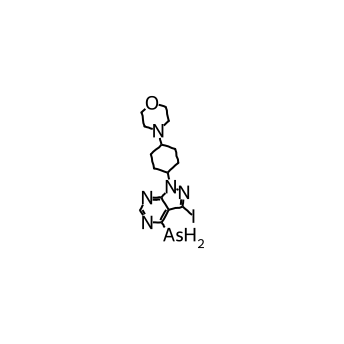 [AsH2]c1ncnc2c1c(I)nn2C1CCC(N2CCOCC2)CC1